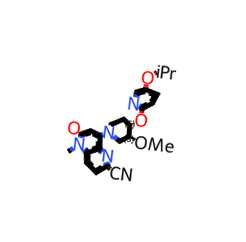 CO[C@H]1CN(c2cc(=O)n(C)c3ccc(C#N)nc23)CC[C@@H]1Oc1ccc(OC(C)C)cn1